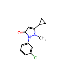 Cn1c(C2CC2)cc(=O)n1-c1cccc(Cl)c1